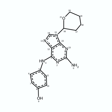 Nc1nc(Nc2ccc(O)cc2)c2ncn(C3CCCCO3)c2n1